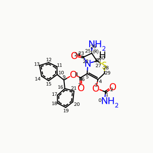 NC(=O)OC1=C(C(=O)OC(c2ccccc2)c2ccccc2)N2C(=O)[C@@H](N)[C@H]2SC1